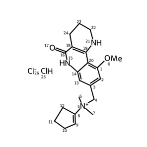 COc1cc(C[N+](C)(C)C2=CCCC2)cc2[nH]c(=O)c3c(c12)NCCC3.Cl.[Cl-]